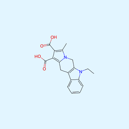 CCn1c2c(c3ccccc31)Cc1c(C(=O)O)c(C(=O)O)c(C)n1C2